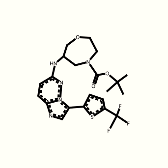 CC(C)(C)OC(=O)N1CCOCC(Nc2ccc3ncc(-c4ccc(C(F)(F)F)s4)n3n2)C1